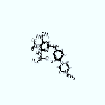 CNc1nc(Nc2ccc(N3CCN(C)CC3)cc2)nc(NC(C)C)c1[N+](=O)[O-]